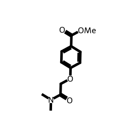 COC(=O)c1ccc(OCC(=O)N(C)C)cc1